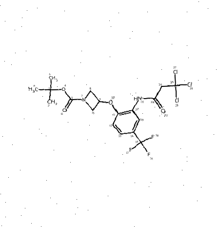 CC(C)(C)OC(=O)N1CC(Oc2ccc(C(F)(F)F)cc2NC(=O)CC(Cl)(Cl)Cl)C1